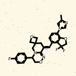 Cc1cn(-c2ccc(/C=C3\CC4(COC4)CN4C3=NOCC4c3ccc(F)cc3)c3c2OCC3(F)F)cn1